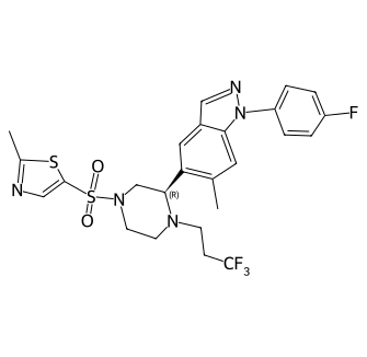 Cc1ncc(S(=O)(=O)N2CCN(CCC(F)(F)F)[C@H](c3cc4cnn(-c5ccc(F)cc5)c4cc3C)C2)s1